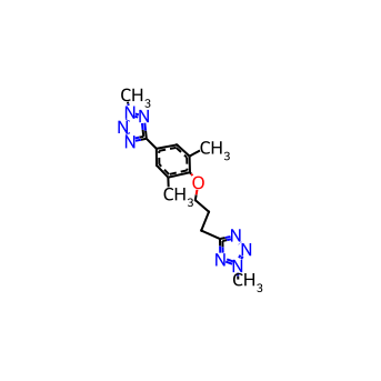 Cc1cc(-c2nnn(C)n2)cc(C)c1OCCCc1nnn(C)n1